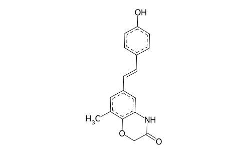 Cc1cc(C=Cc2ccc(O)cc2)cc2c1OCC(=O)N2